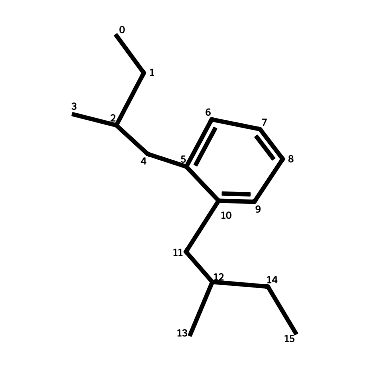 CCC(C)Cc1ccccc1CC(C)CC